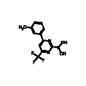 Cc1cccc(-c2cc(C(F)(F)F)nc(B(O)O)n2)c1